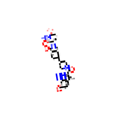 Cc1c(C(=O)N2CCC(c3ccc4c(c3)CN(C3CCC(=O)NC3=O)C4=O)CC2)[nH]c2cc(O)ccc12